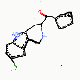 O=C(c1ccccc1)C1Cc2[nH]c3ccc(Cl)cc3c2CN1